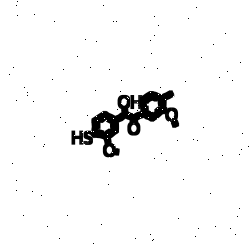 COc1cc(C(=O)C(O)c2ccc(S)c(OC)c2)ccc1C